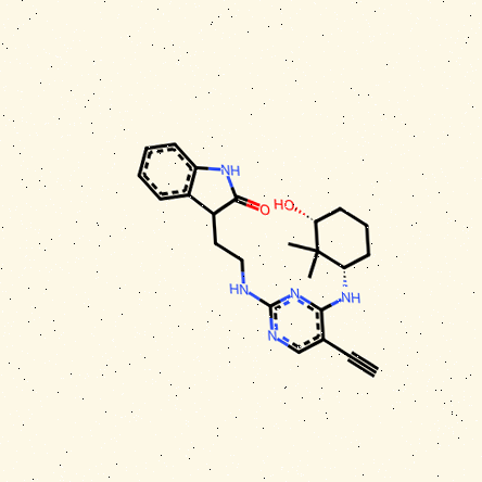 C#Cc1cnc(NCCC2C(=O)Nc3ccccc32)nc1N[C@H]1CCC[C@@H](O)C1(C)C